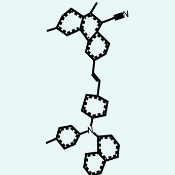 Cc1ccc(N(c2ccc(/C=C/c3ccc4c(C#N)c(C)c5ccc(C)cc5c4c3)cc2)c2cccc3ccccc23)cc1